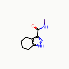 O=C(NI)c1n[nH]c2c1CCCC2